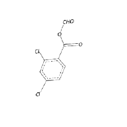 O=[C]OC(=O)c1ccc(Cl)cc1Cl